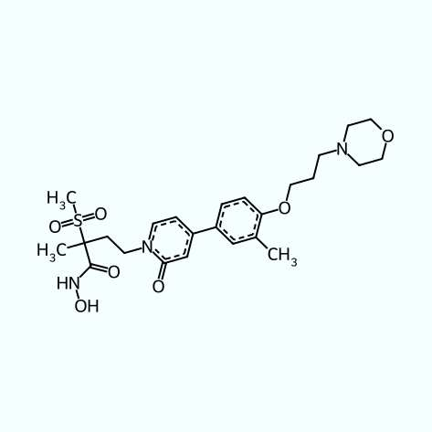 Cc1cc(-c2ccn(CCC(C)(C(=O)NO)S(C)(=O)=O)c(=O)c2)ccc1OCCCN1CCOCC1